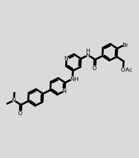 CC(=O)OCc1cc(C(=O)Nc2cncc(Nc3ccc(-c4ccc(C(=O)N(C)C)cc4)cn3)c2)ccc1Br